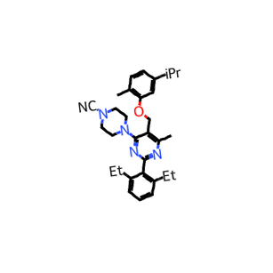 CCc1cccc(CC)c1-c1nc(C)c(COc2cc(C(C)C)ccc2C)c(N2CCN(C#N)CC2)n1